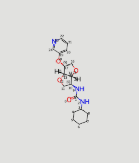 O=C(NC1CCCCC1)N[C@H]1CO[C@H]2[C@@H]1OC[C@@H]2Oc1cccnc1